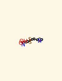 CCN1c2ccccc2CCc2cc(-c3ccc4cc5sc6c7cc8cc(/C=C(\C#N)C(=O)O)ccc8cc7sc6c5cc4c3)ccc21